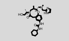 CC1CN([C@@H](C)CO)C(=O)Cc2cc(NC(=O)NC3CCCCC3)ccc2O[C@H]1CN(C)Cc1ncc[nH]1